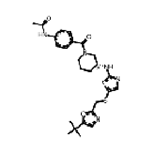 CC(=O)Nc1ccc(C(=O)N2CCC[C@@H](Nc3ncc(SCc4ncc(C(C)(C)C)o4)s3)C2)cc1